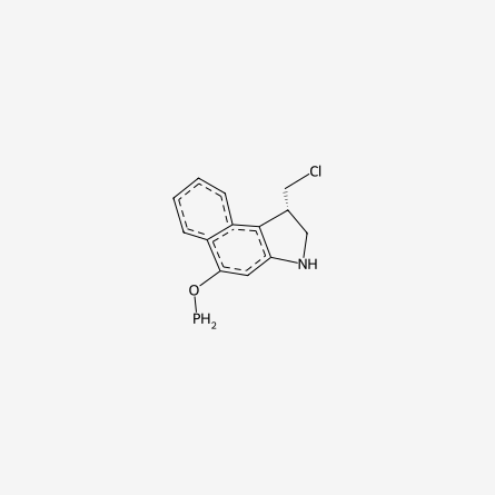 POc1cc2c(c3ccccc13)[C@H](CCl)CN2